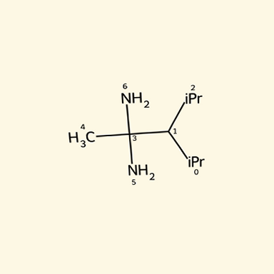 CC(C)C(C(C)C)C(C)(N)N